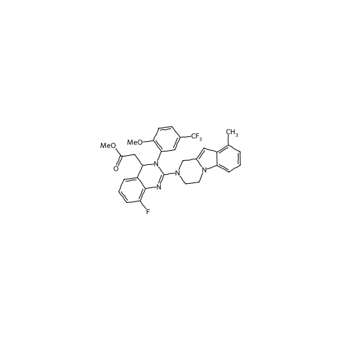 COC(=O)CC1c2cccc(F)c2N=C(N2CCn3c(cc4c(C)cccc43)C2)N1c1cc(C(F)(F)F)ccc1OC